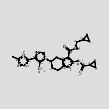 Cc1nnc(-c2ncn(C3CCc4sc(NC(=O)C5CC5)c(C(=O)NCC5CC5)c4C3)c2N)o1